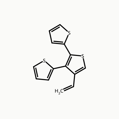 C=Cc1csc(-c2cccs2)c1-c1cccs1